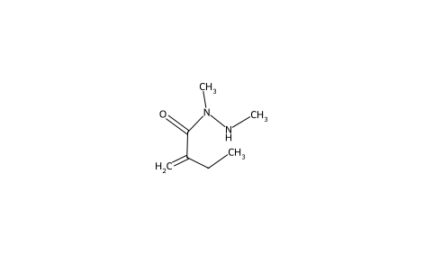 C=C(CC)C(=O)N(C)NC